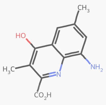 Cc1cc(N)c2nc(C(=O)O)c(C)c(O)c2c1